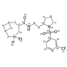 CC[C@H]1CC2CC(C2)CC(C(=O)NCCC2CCCN2S(=O)(=O)c2cccc(C(F)(F)F)c2)C1